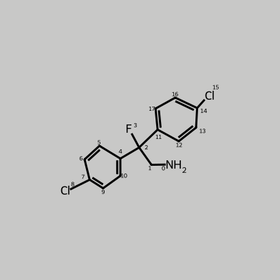 NCC(F)(c1ccc(Cl)cc1)c1ccc(Cl)cc1